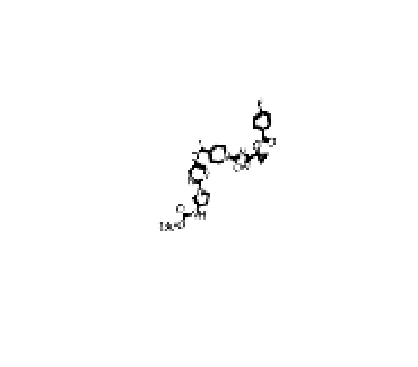 C[C@H](Oc1cnc(N2CC[C@@H](NC(=O)OC(C)(C)C)C2)nc1)C1CCN(c2nc(C3(OC(=O)c4ccc(F)cc4)CC3)no2)CC1